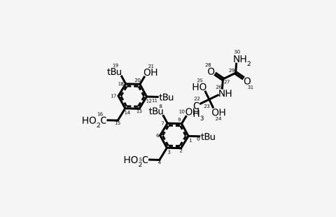 CC(C)(C)c1cc(CC(=O)O)cc(C(C)(C)C)c1O.CC(C)(C)c1cc(CC(=O)O)cc(C(C)(C)C)c1O.CC(O)(O)NC(=O)C(N)=O